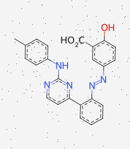 Cc1ccc(Nc2nccc(-c3ccccc3/N=N/c3ccc(O)c(C(=O)O)c3)n2)cc1